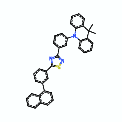 CC1(C)c2ccccc2N(c2cccc(-c3nsc(-c4cccc(-c5cccc6ccccc56)c4)n3)c2)c2ccccc21